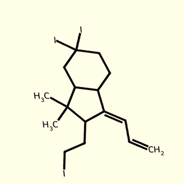 C=C/C=C1/C2CCC(I)(I)CC2C(C)(C)C1CCI